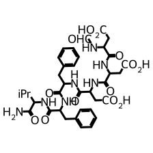 CC(C)C(NC(=O)C(Cc1ccccc1)NC(=O)C(Cc1ccccc1)NC(=O)C(CC(=O)O)NC(=O)C(CC(=O)O)NC(=O)C(CC(=O)O)NC=O)C(N)=O